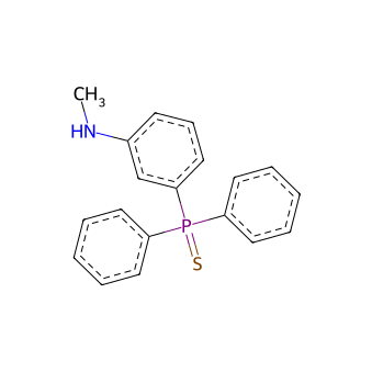 CNc1cccc(P(=S)(c2ccccc2)c2ccccc2)c1